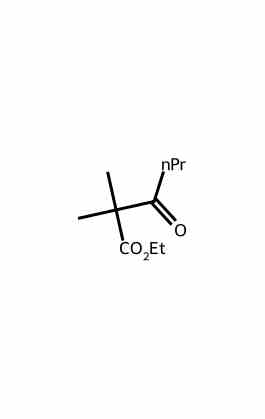 CCCC(=O)C(C)(C)C(=O)OCC